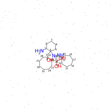 NC1CCCCC1(CO)N(NC1(CO)CCCCCC1)C1(CO)CCCCCCC1